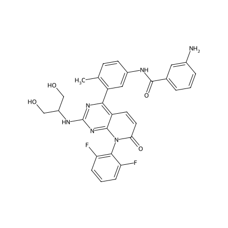 Cc1ccc(NC(=O)c2cccc(N)c2)cc1-c1nc(NC(CO)CO)nc2c1ccc(=O)n2-c1c(F)cccc1F